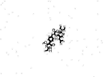 CCc1nc(OC)c(-c2ccc(C[C@H](Nc3nc(N(CC)CC)ncc3CC(C)C)C(=O)O)cc2)c(=O)[nH]1